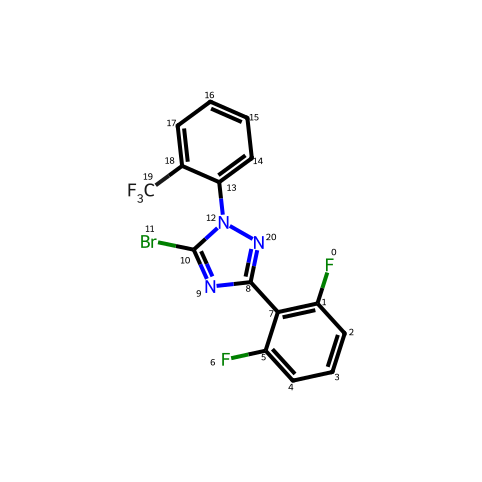 Fc1cccc(F)c1-c1nc(Br)n(-c2ccccc2C(F)(F)F)n1